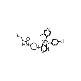 CCCCC(=O)NC1CCN(c2ncnc3c2nc(-c2ccncc2C)n3-c2ccc(Cl)cc2)CC1